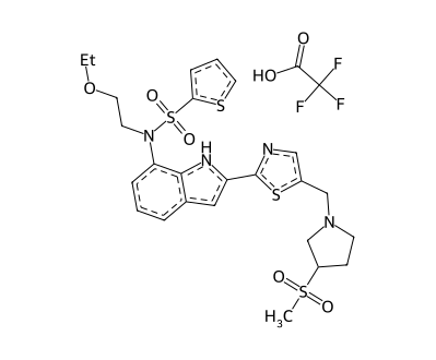 CCOCCN(c1cccc2cc(-c3ncc(CN4CCC(S(C)(=O)=O)C4)s3)[nH]c12)S(=O)(=O)c1cccs1.O=C(O)C(F)(F)F